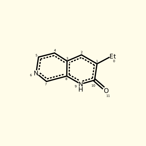 CCc1cc2ccncc2[nH]c1=O